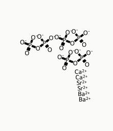 O=P([O-])([O-])OP(=O)([O-])[O-].O=P([O-])([O-])OP(=O)([O-])[O-].O=P([O-])([O-])OP(=O)([O-])[O-].[Ba+2].[Ba+2].[Ca+2].[Ca+2].[Sr+2].[Sr+2]